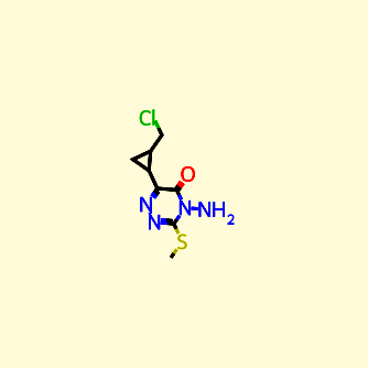 CSc1nnc(C2CC2CCl)c(=O)n1N